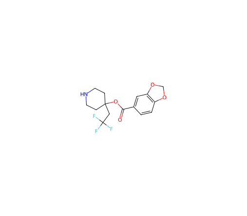 O=C(OC1(CC(F)(F)F)CCNCC1)c1ccc2c(c1)OCO2